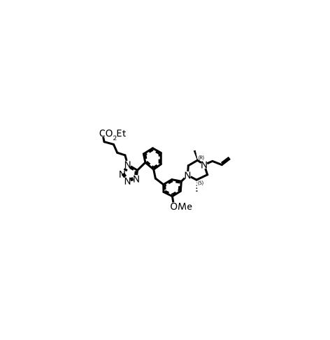 C=CCN1C[C@H](C)N(c2cc(Cc3ccccc3-c3nnnn3CCCCC(=O)OCC)cc(OC)c2)C[C@H]1C